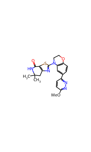 COc1ccc(-c2ccc3c(c2)N(c2nc4c(s2)C(=O)NC(C)(C)C4)CCO3)nn1